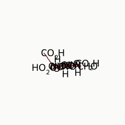 O=[C]CC[C@H](NC(=O)CCCNC(=O)COCCOCCNC(=O)COCCOCCNC(=O)CC[C@H](NC(=O)CCCCCCCCCCCCCCCCC(=O)O)C(=O)O)C(=O)O